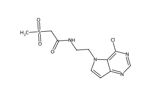 CS(=O)(=O)CC(=O)NCCn1ccc2ncnc(Cl)c21